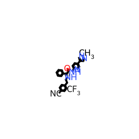 Cn1cc(-c2ccc(NC(=O)[C@H](NCCc3ccc(C#N)cc3C(F)(F)F)c3ccccc3)nc2)cn1